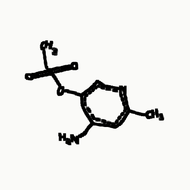 Cc1cc(N)c(OS(C)(=O)=O)cn1